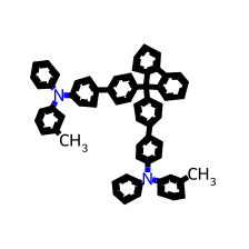 Cc1cccc(N(c2ccccc2)c2ccc(-c3ccc(C4(c5ccc(-c6ccc(N(c7ccccc7)c7cccc(C)c7)cc6)cc5)c5ccccc5-c5ccccc54)cc3)cc2)c1